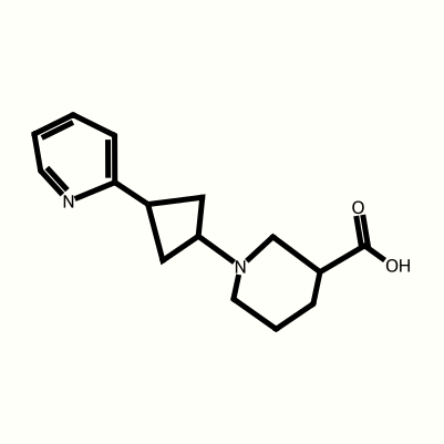 O=C(O)C1CCCN(C2CC(c3ccccn3)C2)C1